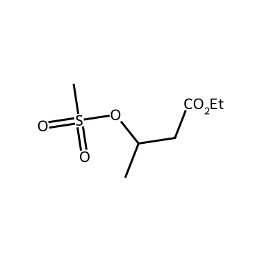 CCOC(=O)CC(C)OS(C)(=O)=O